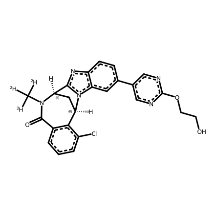 [2H]C([2H])([2H])N1C(=O)c2cccc(Cl)c2[C@H]2C[C@@H]1c1nc3ccc(-c4cnc(OCCO)nc4)cc3n12